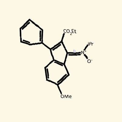 CCOC(=O)C1=C(c2ccccc2)c2ccc(OC)cc2/C1=[N+](\[O-])C(C)C